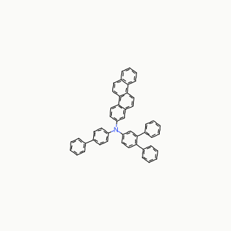 c1ccc(-c2ccc(N(c3ccc(-c4ccccc4)c(-c4ccccc4)c3)c3ccc4c(ccc5c6ccccc6ccc45)c3)cc2)cc1